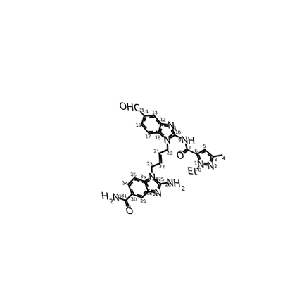 CCn1nc(C)cc1C(=O)Nc1nc2cc(C=O)ccc2n1C/C=C/Cn1c(N)nc2cc(C(N)=O)ccc21